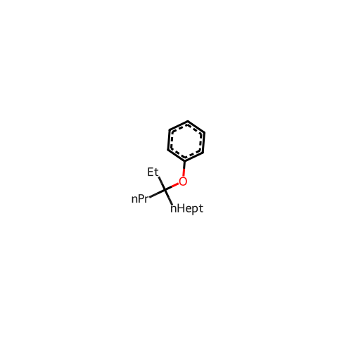 CCCCCCCC(CC)(CCC)Oc1ccccc1